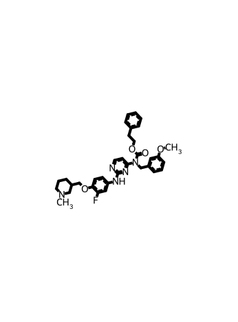 COc1cccc(CN(C(=O)OCCc2ccccc2)c2ccnc(Nc3ccc(OCC4CCCN(C)C4)c(F)c3)n2)c1